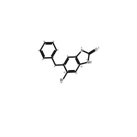 O=C1[N]c2cc(Cc3ccccc3)c(Br)cc2N1